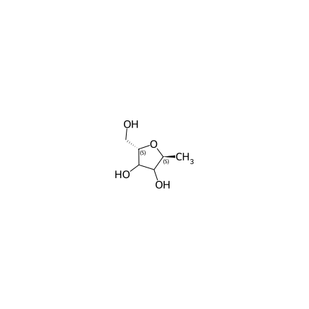 C[C@@H]1O[C@@H](CO)C(O)C1O